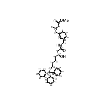 COC(=O)CN(C)Cc1cccc(CNC(=O)CC(O)C=CCCSC(c2ccccc2)(c2ccccc2)c2ccccc2)n1